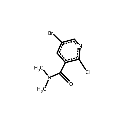 CN(C)C(=O)c1cc(Br)cnc1Cl